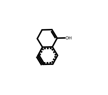 OC1=CCCc2c#cccc21